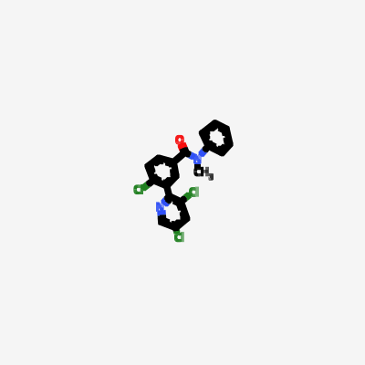 CN(C(=O)c1ccc(Cl)c(-c2ncc(Cl)cc2Cl)c1)c1ccccc1